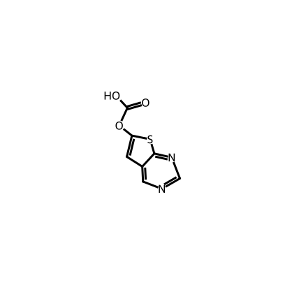 O=C(O)Oc1cc2cncnc2s1